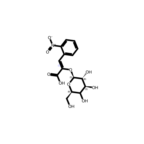 O=C(O)/C(=C/c1ccccc1[N+](=O)[O-])O[C@@H]1O[C@H](CO)C(O)[C@H](O)[C@H]1O